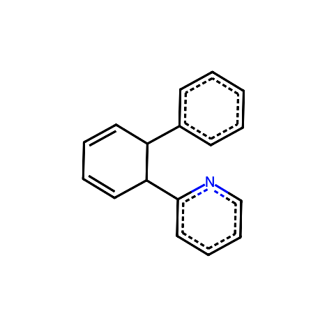 C1=CC(c2ccccc2)C(c2ccccn2)C=C1